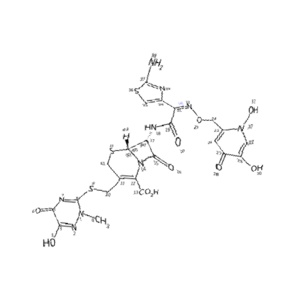 Cn1nc(O)c(=O)nc1SCC1=C(C(=O)O)N2C(=O)[C@@H](NC(=O)/C(=N\OCc3cc(=O)c(O)cn3O)c3csc(N)n3)[C@H]2SC1